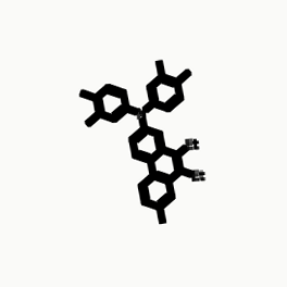 CCc1c(CC)c2cc(N(c3ccc(C)c(C)c3)c3ccc(C)c(C)c3)ccc2c2ccc(C)cc12